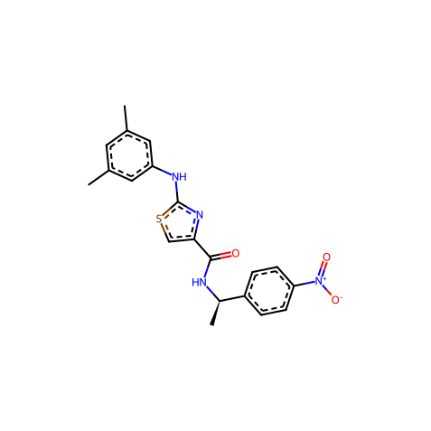 Cc1cc(C)cc(Nc2nc(C(=O)N[C@H](C)c3ccc([N+](=O)[O-])cc3)cs2)c1